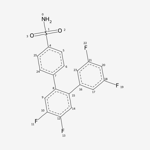 NS(=O)(=O)c1ccc(-c2cc(F)c(F)cc2-c2cc(F)cc(F)c2)cc1